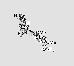 COC(=O)[C@H](CCC(N)=O)NC(=O)c1ccc(NCC#Cc2cc3c(N[C@@H]4CCN(C)C[C@@H]4F)cccc3n2CC(F)(F)F)c(OC)c1